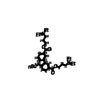 CCCCn1c2ccc(C(=O)OCCCN(CC)CC)cc2c2cc(C(=O)OCCCN(CC)CC)ccc21